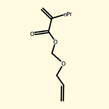 C=CCOCOC(=O)C(=C)CCC